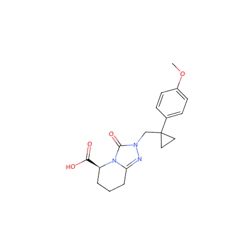 COc1ccc(C2(Cn3nc4n(c3=O)[C@H](C(=O)O)CCC4)CC2)cc1